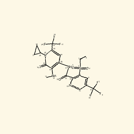 CCS(=O)(=O)c1cc(C(F)(F)F)cnc1C(=O)Nc1cc(C(F)(F)F)n(C2CC2)c(=O)c1NC